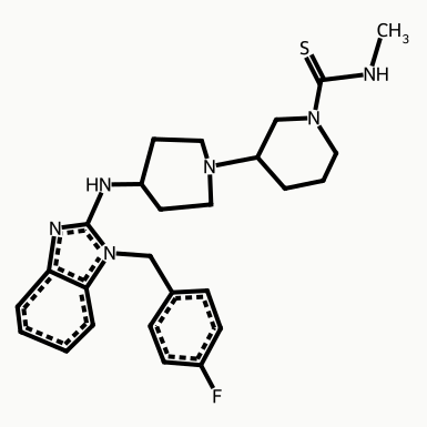 CNC(=S)N1CCCC(N2CCC(Nc3nc4ccccc4n3Cc3ccc(F)cc3)CC2)C1